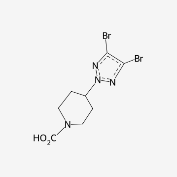 O=C(O)N1CCC(n2nc(Br)c(Br)n2)CC1